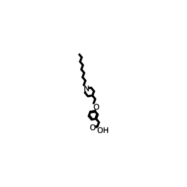 CCCCCCCCCN1CCC(CCOc2cccc(CC(=O)O)c2)CC1